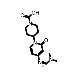 CN(C)/C=N\c1ccn(C2CCN(C(=O)O)CC2)c(=O)c1